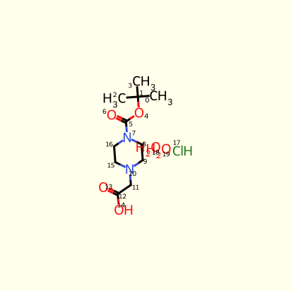 CC(C)(C)OC(=O)N1CCN(CC(=O)O)CC1.Cl.O.O